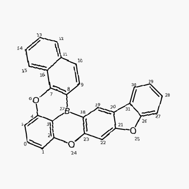 c1cc2c3c(c1)Oc1c(ccc4ccccc14)B3c1cc3c(cc1O2)oc1ccccc13